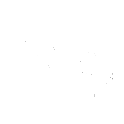 CBc1cnc2cnc(-c3ccc(C(=O)N4CCOCC4)cc3)cn12